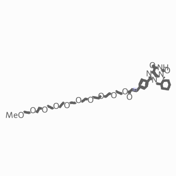 COCCOCCOCCOCCOCCOCCOCCOCCOCCOC(=O)/C=C/c1ccc(-c2nc3c(=O)[nH]c(=O)n(C)c3n2CC2CCCCC2)cc1